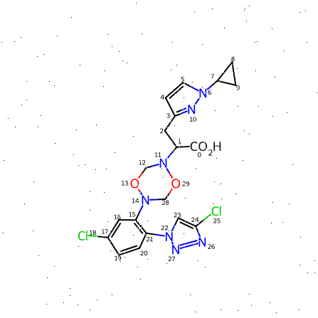 O=C(O)C(Cc1ccn(C2CC2)n1)N1CON(c2cc(Cl)ccc2-n2cc(Cl)nn2)CO1